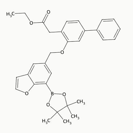 CCOC(=O)Cc1ccc(-c2ccccc2)cc1OCc1cc(B2OC(C)(C)C(C)(C)O2)c2occc2c1